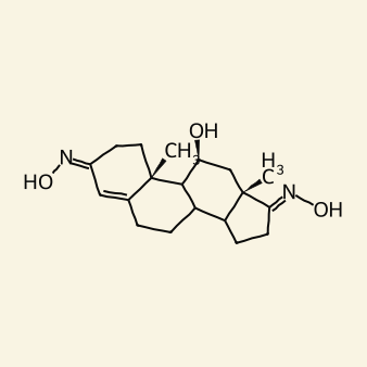 C[C@]12CC/C(=N/O)C=C1CCC1C2[C@@H](O)C[C@]2(C)/C(=N/O)CCC12